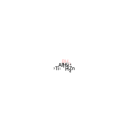 B.[AlH3].[SiH4].[Ti].[Zn]